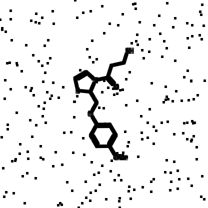 COc1ccc(OCC2SC=CN2C(=O)CCS)cc1